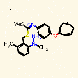 CS/C(=N/c1ccc(OC2=CCCCC=C2)cc1)SCc1c(C)cccc1N(C)N